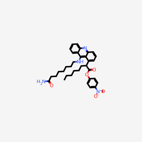 CCCCCCC(C(=O)Oc1ccc([N+](=O)[O-])cc1)c1cccc2nc3ccccc3c(NCCCCCCCC(N)=O)c12